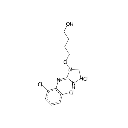 Cl.OCCCCON1CCN/C1=N\c1c(Cl)cccc1Cl